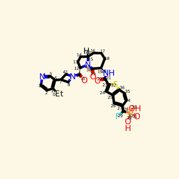 CCc1ccncc1C1CN(C(=O)[C@@H]2CC[C@@H]3CCC[C@H](NC(=O)c4cc5cc(C(F)P(=O)(O)O)ccc5s4)C(=O)N32)C1